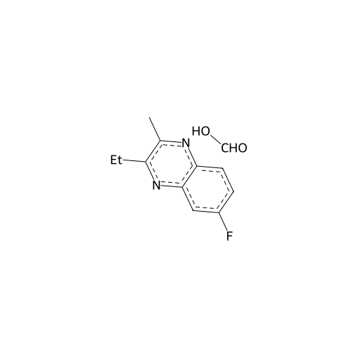 CCc1nc2cc(F)ccc2nc1C.O=CO